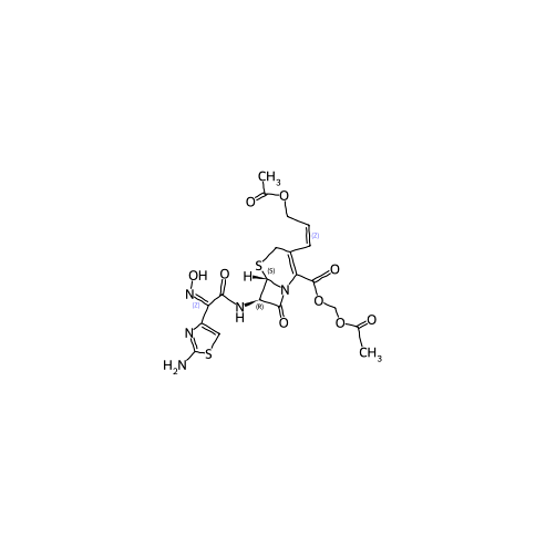 CC(=O)OC/C=C\C1=C(C(=O)OCOC(C)=O)N2C(=O)[C@@H](NC(=O)/C(=N\O)c3csc(N)n3)[C@@H]2SC1